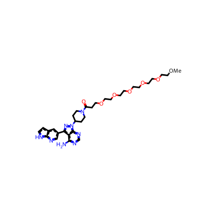 COCCOCCOCCOCCOCCOCCC(=O)N1CCC(n2nc(-c3cnc4[nH]ccc4c3)c3c(N)ncnc32)CC1